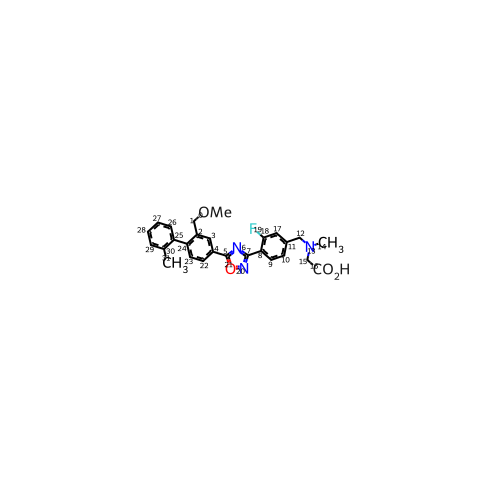 COCc1cc(-c2nc(-c3ccc(CN(C)CC(=O)O)cc3F)no2)ccc1-c1ccccc1C